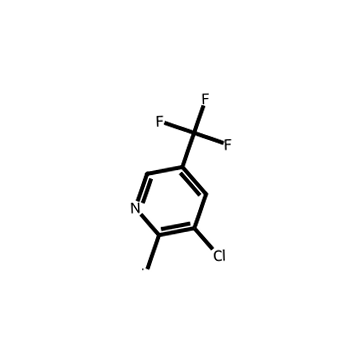 [CH2]c1ncc(C(F)(F)F)cc1Cl